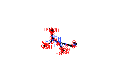 O=C(CCCCC(=O)ON1C(=O)CCC1=O)NCCCC[C@H](NC(=O)CNC(=O)CN(CC(=O)NCCO[C@@H]1O[C@H](CO)[C@@H](O)[C@H](O)[C@H]1O)CC(=O)NCCO[C@@H]1O[C@H](CO)[C@@H](O)[C@H](O)[C@H]1O)C(=O)NCCO[C@H]1O[C@H](CO)[C@@H](O)[C@H](O)[C@@H]1O